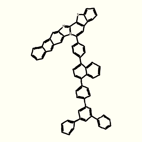 c1ccc(-c2cc(-c3ccccc3)cc(-c3ccc(-c4ccc(-c5ccc(-c6cc7c8ccccc8sc7c7nc8cc9cc%10ccccc%10cc9cc8n67)cc5)c5ccccc45)cc3)c2)cc1